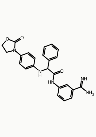 N=C(N)c1cccc(NC(=O)C(Nc2ccc(N3CCOC3=O)cc2)c2ccccc2)c1